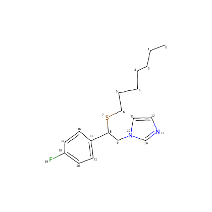 CCCCCCCSC(Cn1ccnc1)c1ccc(F)cc1